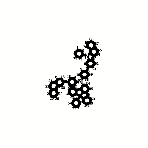 c1ccc(-n2c3cc(-c4ccc(N(c5ccc(-c6ccc7ccc8ccccc8c7c6)cc5)c5cccc6c5-c5ccccc5C6(c5ccccc5)c5ccccc5)cc4)ccc3c3ccc4ccccc4c32)cc1